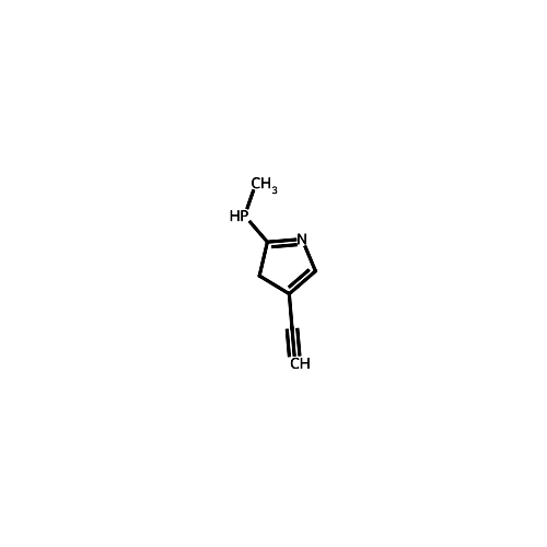 C#CC1=CN=C(PC)C1